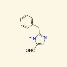 Cn1c(C=O)cnc1Cc1ccccc1